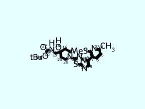 CSc1nc(C)ccc1-c1cnc2sc(N3CCC(O)(CNC(=O)OC(C)(C)C)CC3)nn12